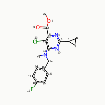 COC(=O)c1nc(C2CC2)nc(N(C)Cc2ccc(F)cc2)c1Cl